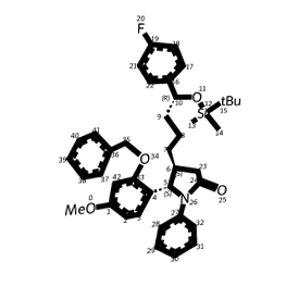 COc1ccc([C@@H]2[C@@H](CCC[C@@H](O[Si](C)(C)C(C)(C)C)c3ccc(F)cc3)CC(=O)N2c2ccccc2)c(OCc2ccccc2)c1